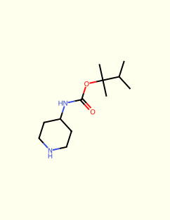 CC(C)C(C)(C)OC(=O)NC1CCNCC1